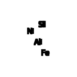 [Al].[Fe].[N].[Si]